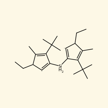 CCC1[C]=C([SiH2]C2=[C]C(CC)C(C)=C2C(C)(C)C)C(C(C)(C)C)=C1C